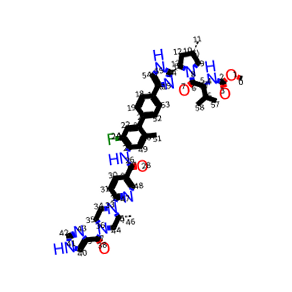 COC(=O)N[C@H](C(=O)N1C[C@@H](C)C[C@H]1c1nc(-c2ccc(-c3cc(F)c(NC(=O)c4ccc(N5CCN(C(=O)c6c[nH]cn6)C[C@H]5C)nc4)cc3C)cc2)c[nH]1)C(C)C